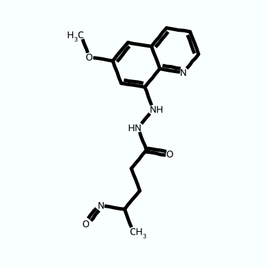 COc1cc(NNC(=O)CCC(C)N=O)c2ncccc2c1